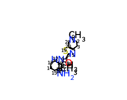 CN1CCc2nc(C(=O)NC3(C)CCCCC3(C)N)sc2C1